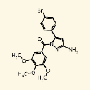 COc1cc(C(=O)n2nc(N)cc2-c2ccc(Br)cc2)cc(OC)c1OC